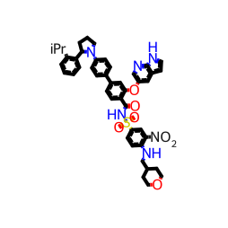 CC(C)c1ccccc1C1CCCN1c1ccc(-c2ccc(C(=O)NS(=O)(=O)c3ccc(NCC4CCOCC4)c([N+](=O)[O-])c3)c(Oc3cnc4[nH]ccc4c3)c2)cc1